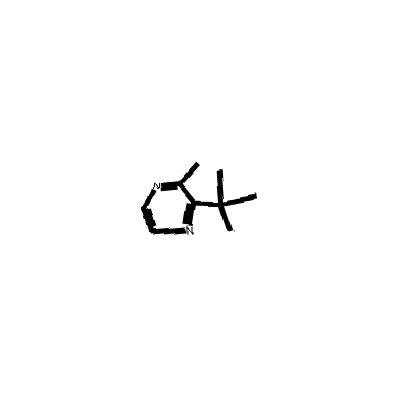 [CH2]C(C)(C)c1nccnc1C